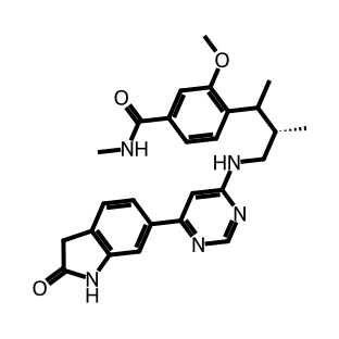 CNC(=O)c1ccc(C(C)[C@H](C)CNc2cc(-c3ccc4c(c3)NC(=O)C4)ncn2)c(OC)c1